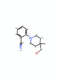 CC1(CBr)CCN(c2ccccc2C#N)CC1